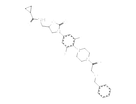 O=C(COCc1ccccc1)N1CCN(c2c(F)cc(N3CC(CNC(=S)C4CC4)OC3=O)cc2F)CC1